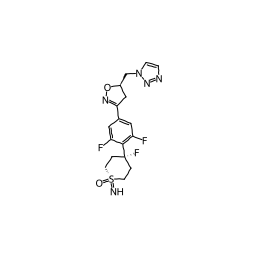 N=[S@]1(=O)CC[C@@](F)(c2c(F)cc(C3=NO[C@@H](Cn4ccnn4)C3)cc2F)CC1